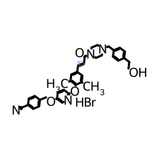 Br.Cc1cc(/C=C/C(=O)N2CCN(Cc3ccc(CCO)cc3)CC2)cc(C)c1Oc1ccc(OCc2ccc(C#N)cc2)cn1